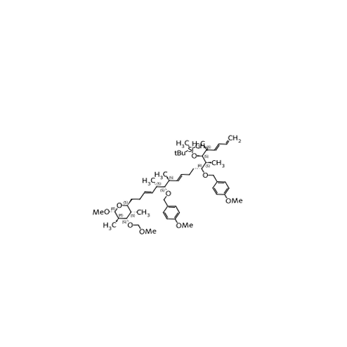 C=CC=C[C@H](C)[C@H](O[Si](C)(C)C(C)(C)C)[C@@H](C)[C@@H](CCC=C[C@H](C)[C@H](OCc1ccc(OC)cc1)[C@@H](C)C=CCC[C@@H]1O[C@@H](OC)[C@H](C)[C@@H](OCOC)[C@H]1C)OCc1ccc(OC)cc1